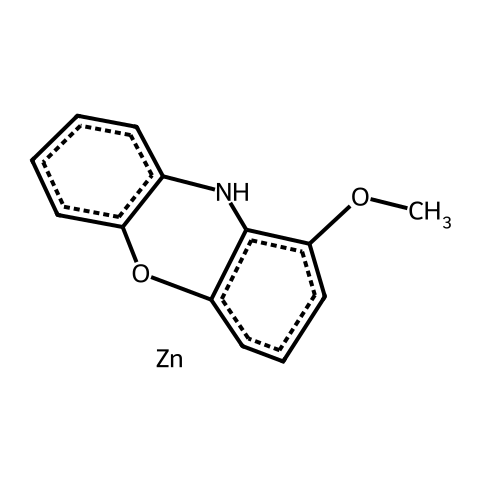 COc1cccc2c1Nc1ccccc1O2.[Zn]